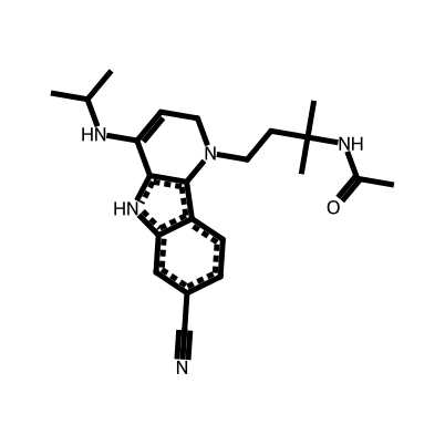 CC(=O)NC(C)(C)CCN1CC=C(NC(C)C)c2[nH]c3cc(C#N)ccc3c21